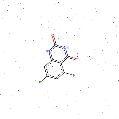 O=c1[nH]c(=O)c2c(F)cc(F)cc2[nH]1